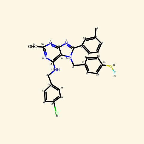 Cc1cccc(-c2nc3nc(C=O)nc(NCc4ccc(Cl)cc4)c3n2Cc2ccc(SF)cc2)c1